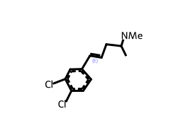 CNC(C)C/C=C/c1ccc(Cl)c(Cl)c1